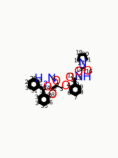 NO[C@@H](COc1ccccc1C(=O)NOC(=O)N1CCCC1)C(=O)OC(c1ccccc1)c1ccccc1